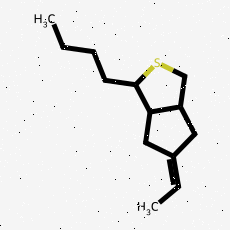 C/C=C1/CC2CSC(CCCC)C2C1